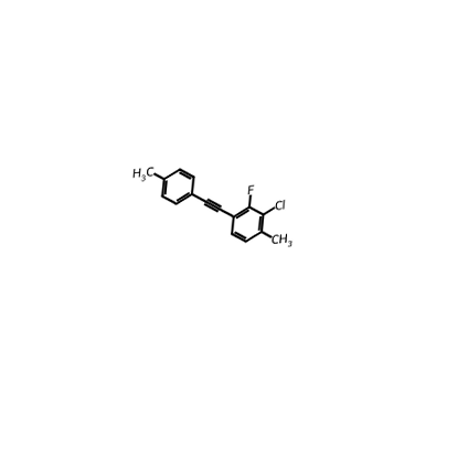 Cc1ccc(C#Cc2ccc(C)c(Cl)c2F)cc1